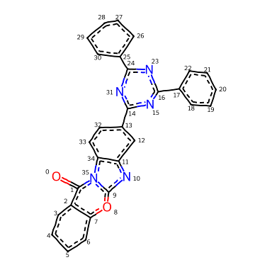 O=c1c2ccccc2oc2nc3cc(-c4nc(-c5ccccc5)nc(-c5ccccc5)n4)ccc3n12